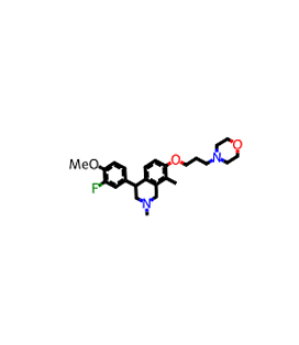 COc1ccc(C2CN(C)Cc3c2ccc(OCCCN2CCOCC2)c3C)cc1F